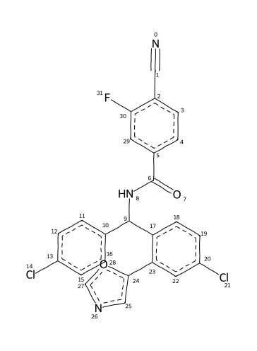 N#Cc1ccc(C(=O)NC(c2ccc(Cl)cc2)c2ccc(Cl)cc2-c2cnco2)cc1F